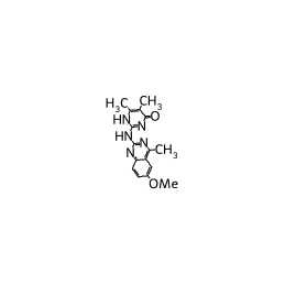 COc1ccc2nc(Nc3nc(=O)c(C)c(C)[nH]3)nc(C)c2c1